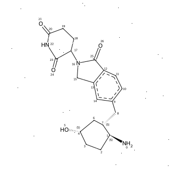 N[C@H]1CC[C@H](O)C[C@@H]1Cc1ccc2c(c1)CN(C1CCC(=O)NC1=O)C2=O